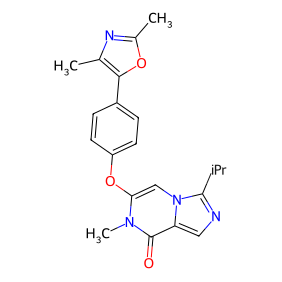 Cc1nc(C)c(-c2ccc(Oc3cn4c(C(C)C)ncc4c(=O)n3C)cc2)o1